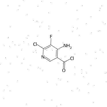 Nc1c(C(=O)Cl)cnc(Cl)c1F